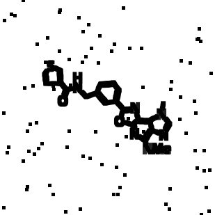 CNc1nc2oc(-c3cccc(CNC(=O)c4ccsc4)c3)nc2c2c1ncn2C